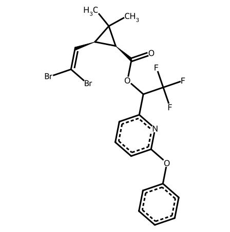 CC1(C)[C@H](C=C(Br)Br)[C@@H]1C(=O)OC(c1cccc(Oc2ccccc2)n1)C(F)(F)F